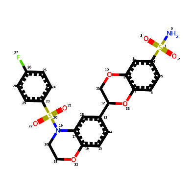 NS(=O)(=O)c1ccc2c(c1)OCC(c1ccc3c(c1)N(S(=O)(=O)c1ccc(F)cc1)CCO3)O2